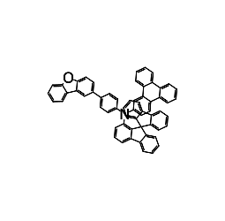 c1ccc2c(c1)-c1ccccc1C21c2ccccc2-c2cccc(N(c3ccc(-c4ccc5oc6ccccc6c5c4)cc3)c3ccc4c5ccccc5c5ccccc5c4c3)c21